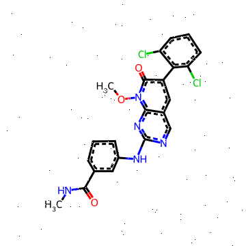 CNC(=O)c1cccc(Nc2ncc3cc(-c4c(Cl)cccc4Cl)c(=O)n(OC)c3n2)c1